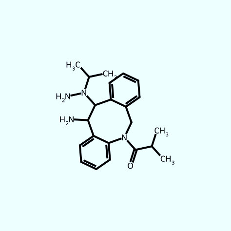 CC(C)C(=O)N1Cc2ccccc2C(N(N)C(C)C)C(N)c2ccccc21